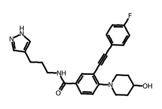 O=C(NCCCc1cn[nH]c1)c1ccc(N2CCC(O)CC2)c(C#Cc2ccc(F)cc2)c1